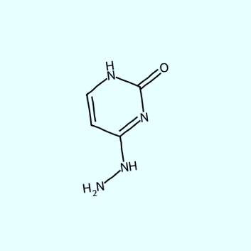 NNc1cc[nH]c(=O)n1